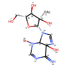 CC(=O)O[C@@]1(O)[C@H](O)[C@@H](CO)O[C@H]1N1C=NC2(O)C(=N)N=CN(Br)C12